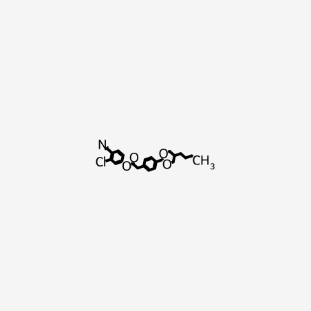 CCCCC1COC(c2ccc(CC(=O)Oc3ccc(C#N)c(Cl)c3)cc2)OC1